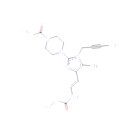 CC#CCn1c(N2CCN(C(=O)OC(C)(C)C)CC2)nc(C=CNC(=O)OC(C)(C)C)c1C#N